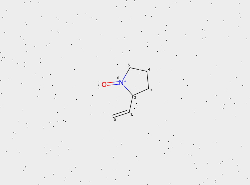 C=CC1CCC[N+]1=O